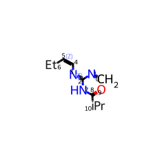 C=N/C(=N\C=C/CC)NC(=O)C(C)C